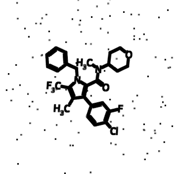 Cc1c(-c2ccc(Cl)c(F)c2)c(C(=O)N(C)C2CCOCC2)n(Cc2ccccc2)c1C(F)(F)F